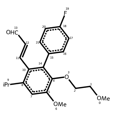 COCCOc1c(OC)cc(C(C)C)c(/C=C/C=O)c1-c1ccc(F)cc1